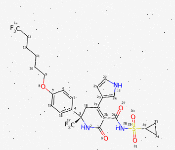 O=C1N[C@@](c2ccc(OCCCCCC(F)(F)F)cc2)(C(F)(F)F)CC(c2cc[nH]c2)=C1C(=O)NS(=O)(=O)C1CC1